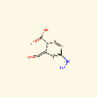 NNC1=CC(=C=O)C(C(=O)O)C=C1